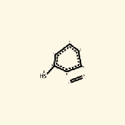 C=C.Sc1ccccc1